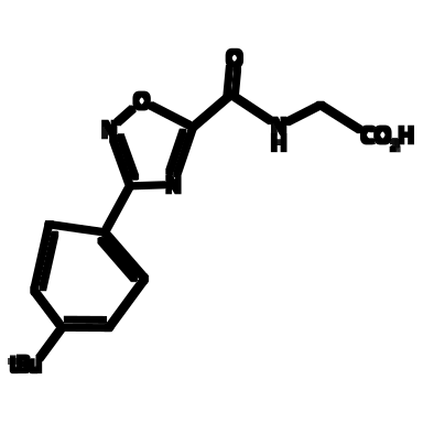 CC(C)(C)c1ccc(-c2noc(C(=O)NCC(=O)O)n2)cc1